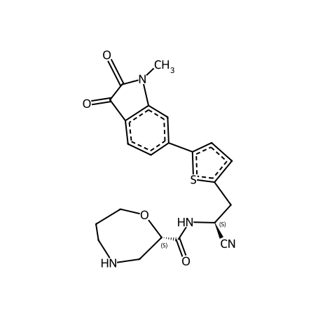 CN1C(=O)C(=O)c2ccc(-c3ccc(C[C@@H](C#N)NC(=O)[C@@H]4CNCCCO4)s3)cc21